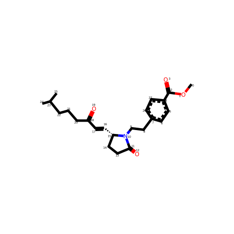 COC(=O)c1ccc(CCN2C(=O)CC[C@@H]2C=CC(=O)CCCC(C)C)cc1